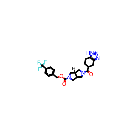 O=C(C1CCc2[nH]nnc2C1)N1C=C2CN(C(=O)OCc3ccc(C(F)(F)F)cc3)C[C@@H]2C1